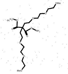 COCCOCCOCCC(CCOCCOCCOC)(C(=O)ON)C(=O)ON.[Pt]